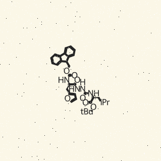 CC(C)C[C@H](NC(=O)NNC(=O)[C@@H](Cc1ccco1)NC(=O)OCC1c2ccccc2-c2ccccc21)C(=O)OC(C)(C)C